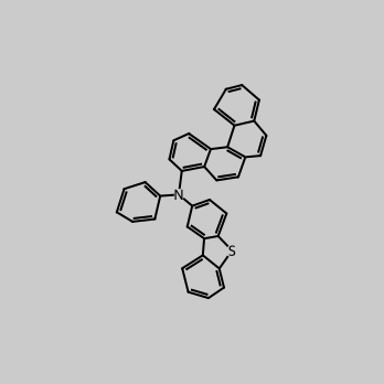 c1ccc(N(c2ccc3sc4ccccc4c3c2)c2cccc3c2ccc2ccc4ccccc4c23)cc1